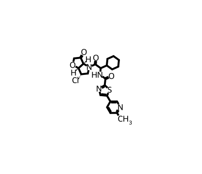 Cc1ccc(-c2cnc(C(=O)NC(C(=O)N3C[C@H](Cl)[C@H]4OCC(=O)[C@H]43)C3CCCCC3)s2)cn1